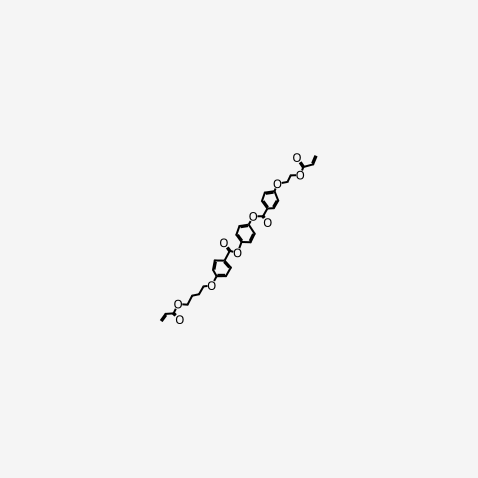 C=CC(=O)OCCCCOc1ccc(C(=O)Oc2ccc(OC(=O)c3ccc(OCCOC(=O)C=C)cc3)cc2)cc1